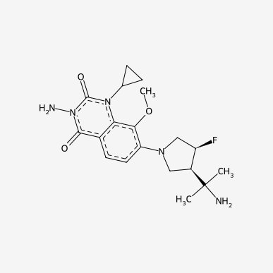 COc1c(N2C[C@@H](F)[C@@H](C(C)(C)N)C2)ccc2c(=O)n(N)c(=O)n(C3CC3)c12